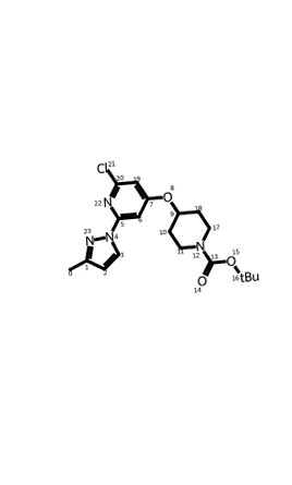 Cc1ccn(-c2cc(OC3CCN(C(=O)OC(C)(C)C)CC3)cc(Cl)n2)n1